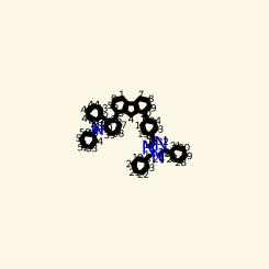 C1=CC2=C(Cc3c2cccc3-c2ccc(-c3nc(-c4ccccc4)nc(-c4ccccc4)n3)cc2)C(c2cccc3c2c2ccccc2n3-c2ccccc2)C1